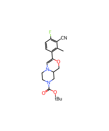 Cc1c(C2=CN3CCN(C(=O)OC(C)(C)C)CC3CO2)ccc(F)c1C#N